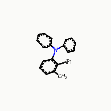 Cc1cccc(N(c2ccccc2)c2ccccc2)c1C(C)C